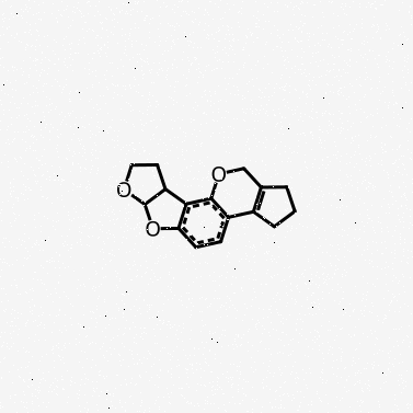 c1cc2c(c3c1OC1OCCC31)OCC1=C2CCC1